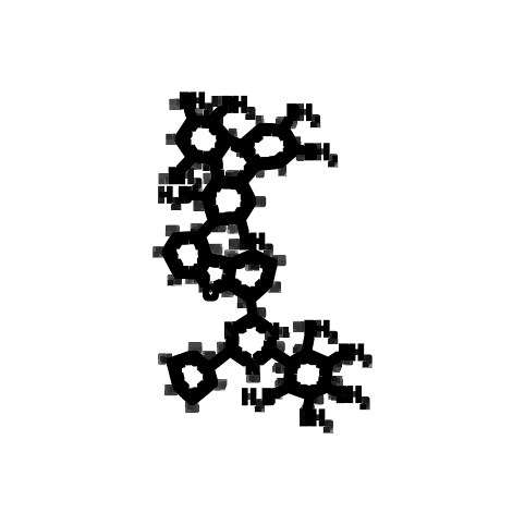 Bc1cc2c(cc1B)c1c(B)c(B)cc(B)c1c1c(B)c(-c3cccc4oc5c(-c6nc(-c7ccccc7)nc(-c7c(B)c(B)c(B)c(B)c7B)n6)cccc5c34)c(B)cc21